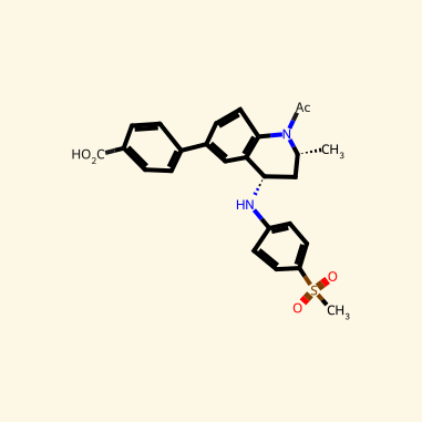 CC(=O)N1c2ccc(-c3ccc(C(=O)O)cc3)cc2[C@@H](Nc2ccc(S(C)(=O)=O)cc2)C[C@H]1C